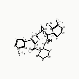 Cc1cccc(-c2sc(C3CC3)nc2C(=O)N2CCCCC2CNC(=O)c2cccc(C)c2Cl)c1